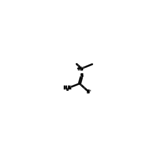 NC(=S)[S-].[CH3][Pb+][CH3]